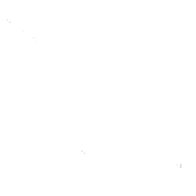 [N-]=[N+]=NCCOCCOCCNS(=O)(=O)CCCCCN